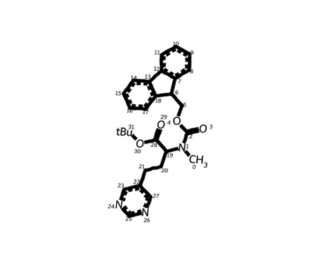 CN(C(=O)OCC1c2ccccc2-c2ccccc21)C(CCc1cncnc1)C(=O)OC(C)(C)C